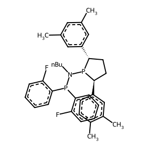 CCCCN(P(c1ccccc1F)c1ccccc1F)P1[C@H](c2cc(C)cc(C)c2)CC[C@H]1c1ccc(C)c(C)c1